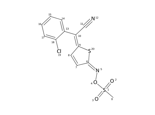 CS(=O)(=O)ON=C1C=C/C(=C(/C#N)c2ccccc2Cl)S1